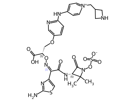 CC1(C)[C@H](NC(=O)/C(=N\O[C@@H](COc2ccc(Nc3cc[n+](CC4CNC4)cc3)nc2)C(=O)O)c2csc(N)n2)C(=O)N1OS(=O)(=O)[O-]